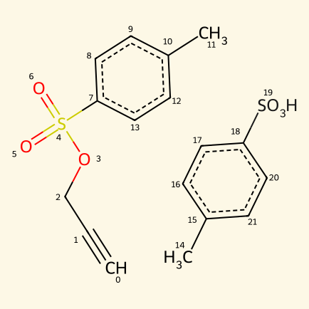 C#CCOS(=O)(=O)c1ccc(C)cc1.Cc1ccc(S(=O)(=O)O)cc1